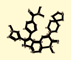 CN(C)C(=O)c1ccc(-c2c(-c3cnn(C)c3)[nH]c3ncc4c(cc(N5CCC6(CCOC6)CC5)c(=O)n4C)c23)cc1